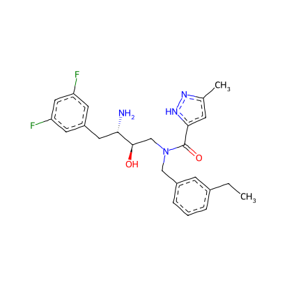 CCc1cccc(CN(C[C@@H](O)[C@@H](N)Cc2cc(F)cc(F)c2)C(=O)c2cc(C)n[nH]2)c1